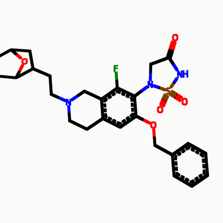 O=C1CN(c2c(OCc3ccccc3)cc3c(c2F)CN(CCC2CC4CCC2O4)CC3)S(=O)(=O)N1